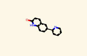 O=c1ccc2cc(-c3ccccn3)ccc2[nH]1